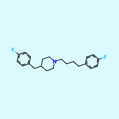 Fc1ccc(CCCCN2CCC(Cc3ccc(F)cc3)CC2)cc1